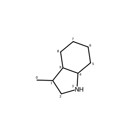 CC1CNC2CCCCC12